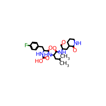 CC(C)CC(NC(=O)C(Cc1ccc(F)cc1)NC(=O)O)C(=O)NC(C=O)CC1CCCNC1=O